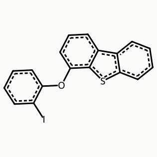 Ic1ccccc1Oc1cccc2c1sc1ccccc12